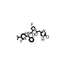 CC(C)c1ccc(C(NC(=O)C2CC(F)CN2C(=O)Cc2c[nH]c(=O)cn2)c2ccccc2)nc1F